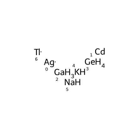 [Ag].[Cd].[GaH3].[GeH4].[KH].[NaH].[Tl]